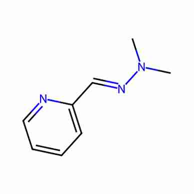 CN(C)/N=C/c1ccccn1